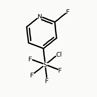 Fc1cc(S(F)(F)(F)(F)Cl)ccn1